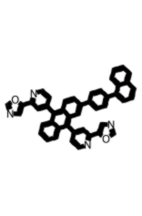 c1ccc2c(-c3ccc(-c4ccc5c(-c6ccnc(-c7cnco7)c6)c6ccccc6c(-c6ccnc(-c7cnco7)c6)c5c4)cc3)cccc2c1